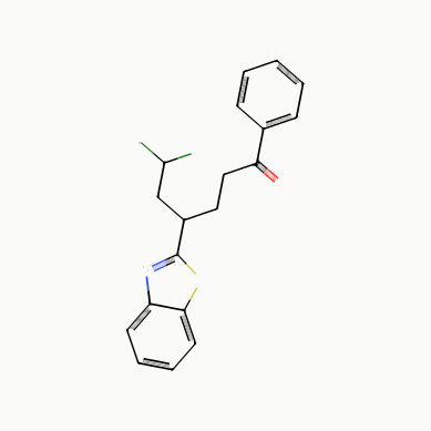 O=C(CCC(CC(Cl)Cl)c1nc2ccccc2s1)c1ccccc1